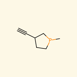 C#CC1CCP(C)C1